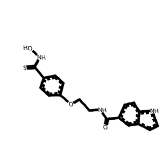 O=C(NCCOc1ccc(C(=S)NO)cc1)c1ccc2[nH]ccc2c1